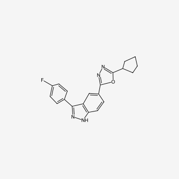 Fc1ccc(-c2n[nH]c3ccc(-c4nnc(C5CCCC5)o4)cc23)cc1